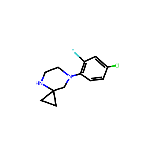 Fc1cc(Cl)ccc1N1CCNC2(CC2)C1